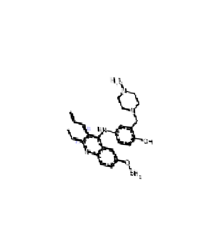 BOc1ccc2nc(=C/C)/c(=C\C=C)c(Nc3ccc(O)c(CN4CCN(B)CC4)c3)c2c1